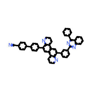 N#Cc1ccc(-c2ccc(-c3cc4c5cccnc5c(-c5cccc(-c6nc(-c7ccccc7)c7ccccc7n6)c5)cc4c4cccnc34)cc2)cc1